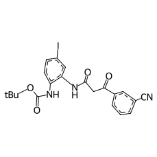 CC(C)(C)OC(=O)Nc1ccc(I)cc1NC(=O)CC(=O)c1cccc(C#N)c1